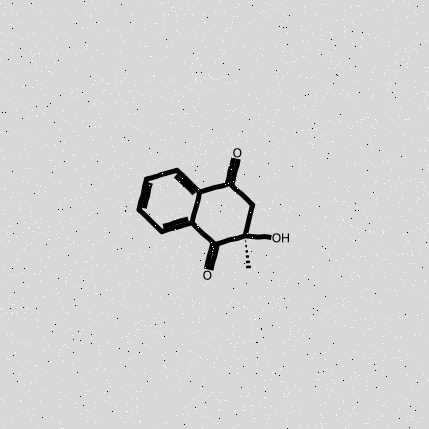 C[C@@]1(O)CC(=O)c2ccccc2C1=O